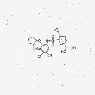 COC1CCCC1Oc1cc(Cl)c(C#N)cc1NS(=O)(=O)c1cc(C(O)O)ccc1C1CC1